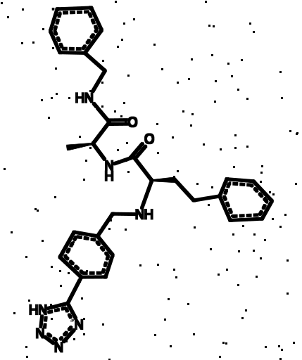 C[C@H](NC(=O)[C@@H](CCc1ccccc1)NCc1ccc(-c2nnn[nH]2)cc1)C(=O)NCc1cc[c]cc1